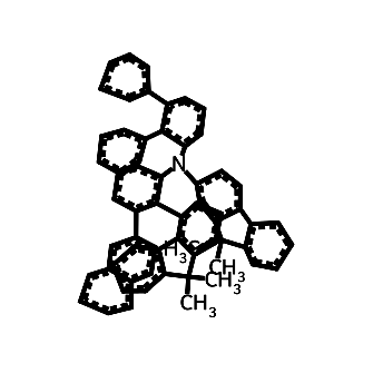 CC1(C)c2ccccc2-c2ccc(N(c3cccc(-c4ccccc4)c3-c3ccccc3)c3cccc(-c4ccc5ccccc5c4)c3-c3cccc4c3-c3ccccc3C4(C)C)cc21